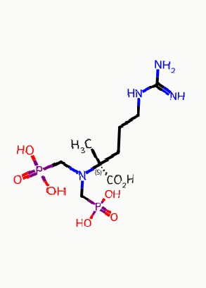 C[C@](CCCNC(=N)N)(C(=O)O)N(CP(=O)(O)O)CP(=O)(O)O